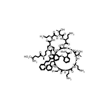 CNC(=O)c1ccccc1Sc1ccc2c(/C=C/c3ccccn3)nn(C(=O)N(CCC(=O)N[C@@H](CCN)C(=O)N[C@@H](C(=O)NC(CCN)C(=O)N[C@H]3CCNC(=O)[C@@H]([C@H](C)O)NC[C@@H](CCN)NC(=O)[C@@H](CCN)NC(=O)[C@@H](CC(C)C)NC(=O)C(Cc4ccccc4)NC(=O)[C@@H](CCN)NC3=O)[C@@H](C)O)CCN(C)C(=O)CC[C@@H](N)C(=O)O)c2c1